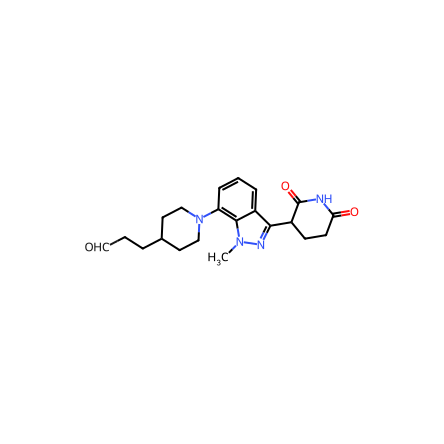 Cn1nc(C2CCC(=O)NC2=O)c2cccc(N3CCC(CCC=O)CC3)c21